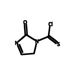 O=C1N=CCN1C(=S)Cl